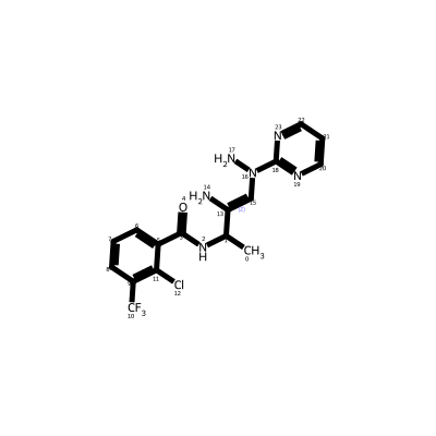 CC(NC(=O)c1cccc(C(F)(F)F)c1Cl)/C(N)=C/N(N)c1ncccn1